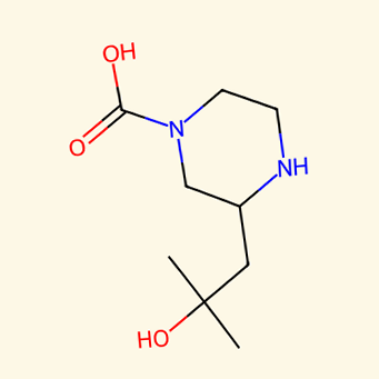 CC(C)(O)CC1CN(C(=O)O)CCN1